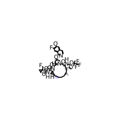 CC[C@@H]1C[C@H](C)CC/C=C\[C@@H]2C[C@@]2(C(=O)NS(=O)(=O)C2(CF)CC2)NC(=O)[C@@H]2C[C@@H](Oc3nccc4cc(OC)c(F)cc34)CN2C(=O)[C@H]1NC(=O)OC(C)(C)C(F)(F)F